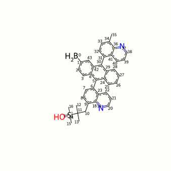 Bc1ccc2c(-c3ccc(CC(C)(C)[Si](C)(C)O)c4ncccc34)c3ccccc3c(-c3ccc(C)c4ncccc34)c2c1